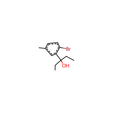 CCC(O)(CC)c1cc(C)ccc1Br